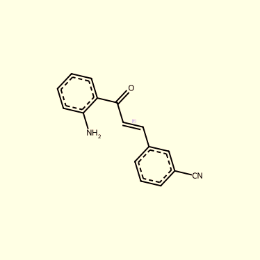 N#Cc1cccc(/C=C/C(=O)c2ccccc2N)c1